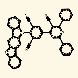 N#Cc1cc(-c2nc(-c3ccccc3)nc(-c3ccccc3)c2C#N)cc(C#N)c1-n1c2ccccc2c2cc3sc4ccccc4c3cc21